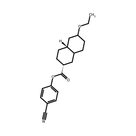 CCOC1CCC2C[C@H](C(=O)Oc3ccc(C#N)cc3)CC[C@@H]2C1